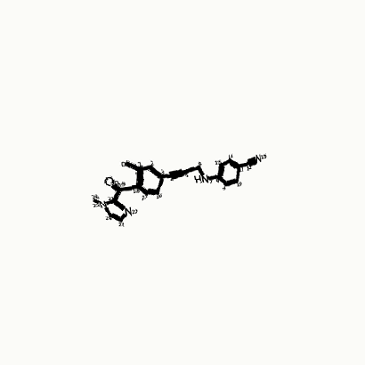 Cc1cc(C#CCNc2ccc(C#N)cc2)ccc1C(=O)c1nccn1C